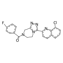 O=C(c1ccc(F)cc1)N1CCn2c(nnc2-c2ccc3cccc(Cl)c3n2)C1